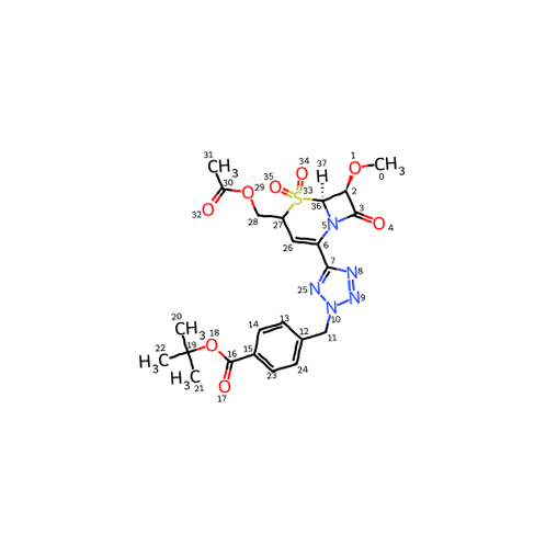 CO[C@H]1C(=O)N2C(c3nnn(Cc4ccc(C(=O)OC(C)(C)C)cc4)n3)=CC(COC(C)=O)S(=O)(=O)[C@@H]12